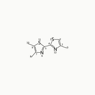 Cc1csc(-c2nc(C)c(C)s2)n1